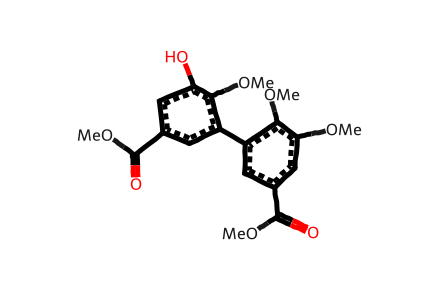 COC(=O)c1cc(O)c(OC)c(-c2cc(C(=O)OC)cc(OC)c2OC)c1